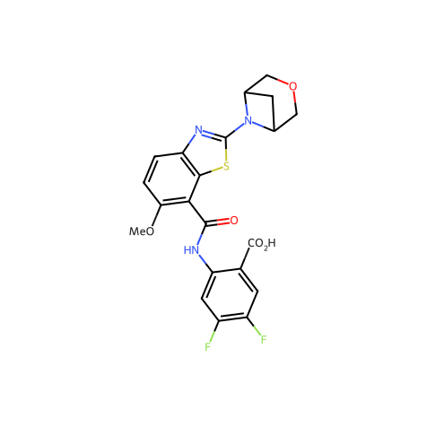 COc1ccc2nc(N3C4COCC3C4)sc2c1C(=O)Nc1cc(F)c(F)cc1C(=O)O